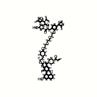 C=CC(=O)N1CCN(c2nc(O[C@H](C)CN3CCC(OCCOCCOCCOc4cc(-c5scnc5C)ccc4CNC(=O)[C@@H]4C[C@@H](O)CN4C(=O)[C@@H](c4cc(C)no4)C(C)C)CC3)nc3c(F)c(-c4cc(O)cc5ccccc45)c(Cl)cc23)CC1